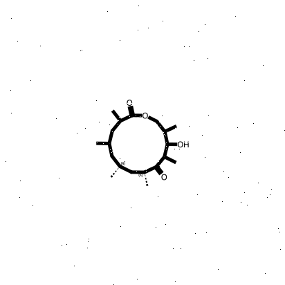 CC1CC(C)C(=O)OCC(C)C(O)C(C)C(=O)[C@H](C)C[C@H](C)C1